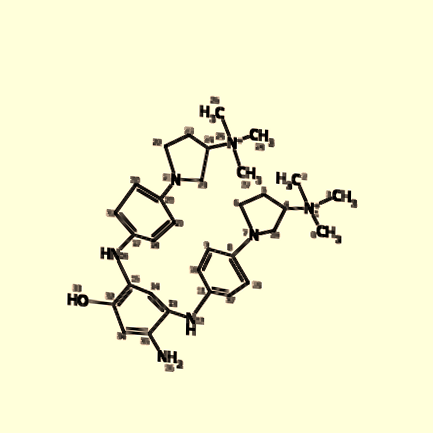 C[N+](C)(C)C1CCN(c2ccc(Nc3cc(Nc4ccc(N5CCC([N+](C)(C)C)C5)cc4)c(O)cc3N)cc2)C1